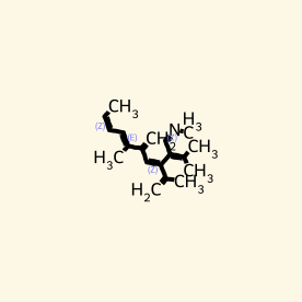 C=C(C)/C(=C/C(=C)/C(C)=C/C=C\C)C(/C=N\C)=C(C)C